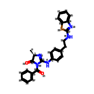 C[C@@H]1N=C(Nc2ccc(CCNc3nc4ccccc4s3)cc2)N(C(=O)c2ccccc2)C1=O